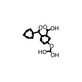 O=C(O)c1cc(OC(O)O)ccc1C(=O)c1ccccc1